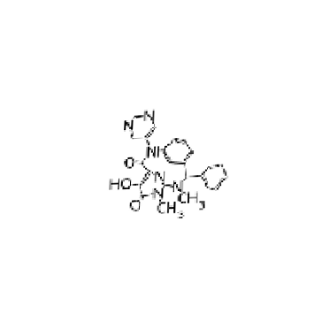 CN(c1nc(C(=O)Nc2cncnc2)c(O)c(=O)n1C)C(c1ccccc1)c1ccccc1